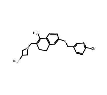 CC1=C(CN2CC(C(=O)O)C2)CCc2cc(OCc3ccc(C#N)nc3)ccc21